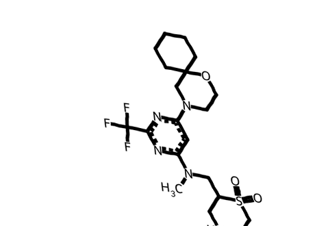 CN(CC1CNCCS1(=O)=O)c1cc(N2CCOC3(CCCCC3)C2)nc(C(F)(F)F)n1